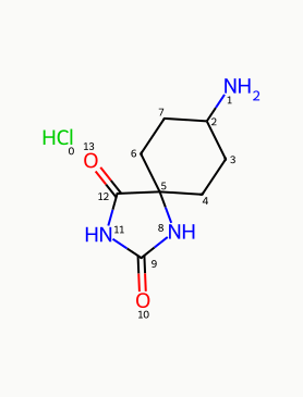 Cl.NC1CCC2(CC1)NC(=O)NC2=O